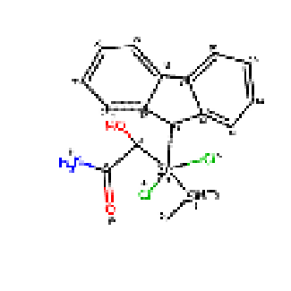 C[SiH](C)[Zr]([Cl])([Cl])([CH](O)C(N)=O)[CH]1c2ccccc2-c2ccccc21